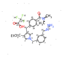 CCOC(=O)c1cn(Cc2cccc(C=NN)c2)cc1Cc1ccc(C(=O)N(C)C)cc1.O=C(O)C(F)(F)F